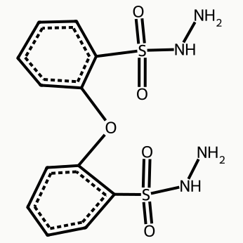 NNS(=O)(=O)c1ccccc1Oc1ccccc1S(=O)(=O)NN